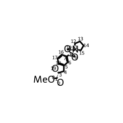 COC(=O)[C@H]1Cc2cc(S(=O)(=O)N3CCCC3)ccc2O1